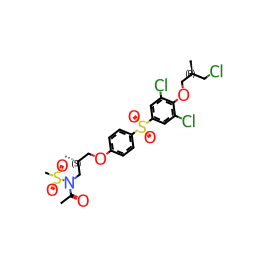 CC(=O)N(C[C@H](C)COc1ccc(S(=O)(=O)c2cc(Cl)c(OC[C@@H](C)CCl)c(Cl)c2)cc1)S(C)(=O)=O